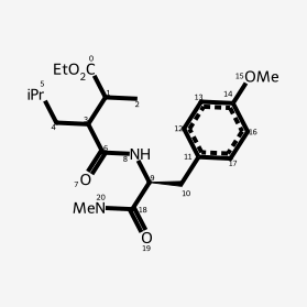 CCOC(=O)C(C)C(CC(C)C)C(=O)N[C@@H](Cc1ccc(OC)cc1)C(=O)NC